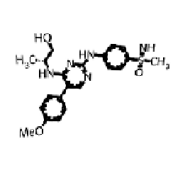 COc1ccc(-c2cnc(Nc3ccc(S(C)(=N)=O)cc3)nc2N[C@H](C)CO)cc1